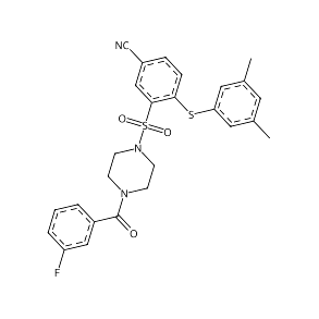 Cc1cc(C)cc(Sc2ccc(C#N)cc2S(=O)(=O)N2CCN(C(=O)c3cccc(F)c3)CC2)c1